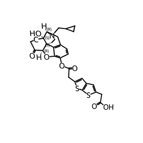 O=C(O)Cc1cc2cc(CC(=O)Oc3ccc4c5c3O[C@H]3C(=O)CC[C@@]6(O)[C@@H](C4)N(CC4CC4)CC[C@]536)sc2s1